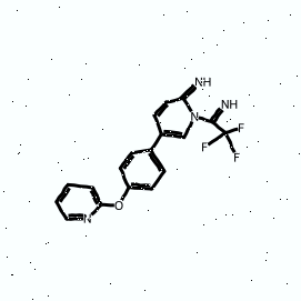 N=C(n1cc(-c2ccc(Oc3ccccn3)cc2)ccc1=N)C(F)(F)F